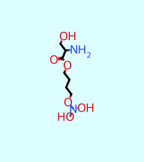 NC(CO)C(=O)OCCCCON(O)O